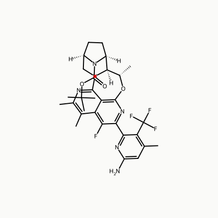 Cc1cc(N)nc(-c2nc3c4c(nc(C)c(C)c4c2F)N2C[C@H]4CC[C@@H]([C@H]2[C@H](C)O3)N4C(=O)OC(C)(C)C)c1C(F)(F)F